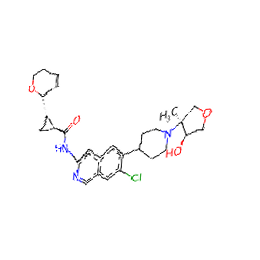 C[C@]1(N2CCC(c3cc4cc(NC(=O)[C@H]5C[C@@H]5C5CCCCO5)ncc4cc3Cl)CC2)COC[C@H]1O